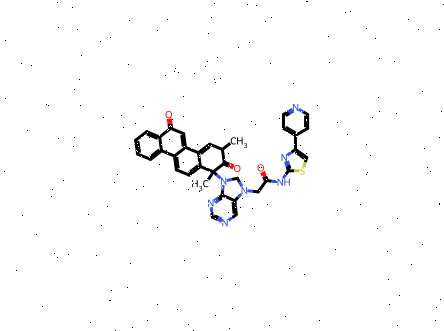 CC1C=c2c(ccc3c2=CC(=O)c2ccccc2-3)C(C)(N2CN(CC(=O)Nc3nc(-c4ccncc4)cs3)c3cncnc32)C1=O